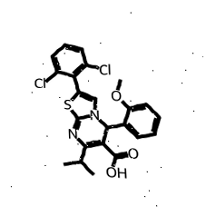 COc1ccccc1C1C(C(=O)O)=C(C(C)C)N=C2SC(c3c(Cl)cccc3Cl)=CN21